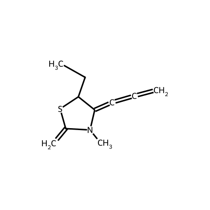 C=C=C=C1C(CC)SC(=C)N1C